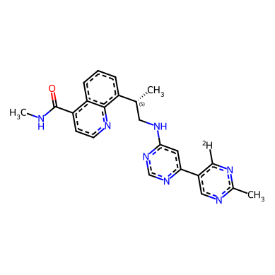 [2H]c1nc(C)ncc1-c1cc(NC[C@@H](C)c2cccc3c(C(=O)NC)ccnc23)ncn1